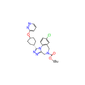 CC(C)(C)OC(=O)N1Cc2cc(Cl)ccc2-n2c(nnc2[C@H]2CC[C@H](Oc3cccnn3)CC2)C1